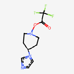 O=C(ON1CCC(n2ccnc2)CC1)C(F)(F)F